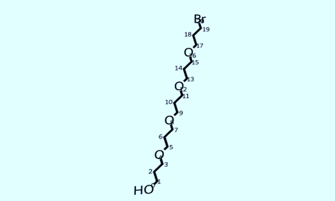 OCCCOCCCOCCCOCCCOCCCBr